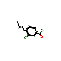 CCCCc1ccc(C(=O)Cl)cc1Cl